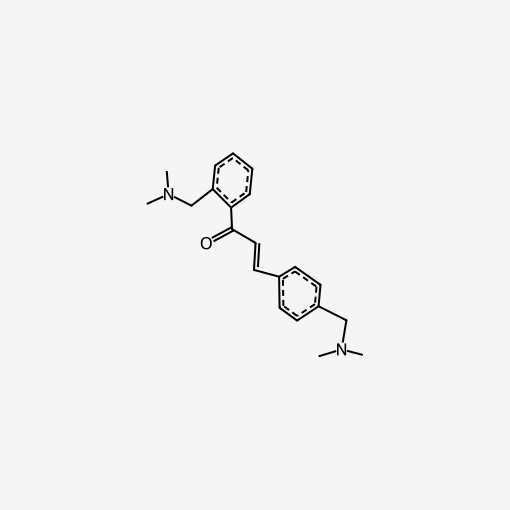 CN(C)Cc1ccc(C=CC(=O)c2ccccc2CN(C)C)cc1